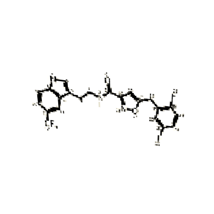 O=C(NCCc1c[nH]c2ccc(C(F)(F)F)cc12)c1cc(Cc2cc(F)ccc2F)on1